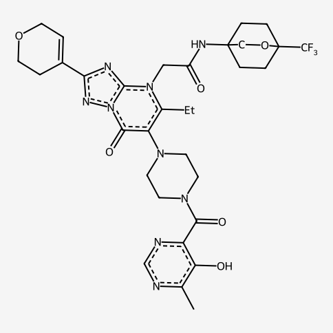 CCc1c(N2CCN(C(=O)c3ncnc(C)c3O)CC2)c(=O)n2nc(C3=CCOCC3)nc2n1CC(=O)NC12CCC(C(F)(F)F)(CC1)OC2